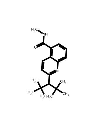 CNC(=O)c1cccc2nc(C(C(C)(C)C)C(C)(C)C)ccc12